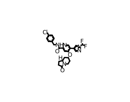 O=C(NCc1ccc(Cl)cc1)c1cc(O[C@H]2CCN3C(=O)CC[C@@H]3C2)c(-c2cnn(C(F)F)c2)cn1